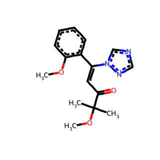 COc1ccccc1C(=CC(=O)C(C)(C)OC)n1cncn1